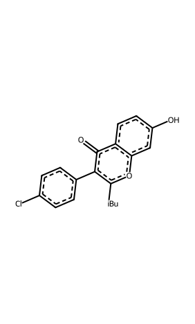 CCC(C)c1oc2cc(O)ccc2c(=O)c1-c1ccc(Cl)cc1